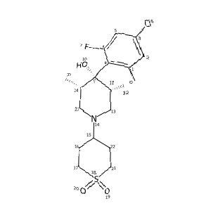 Cc1cc(Cl)cc(F)c1[C@@]1(O)[C@H](C)CN(C2CCS(=O)(=O)CC2)C[C@@H]1C